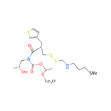 CCOC(=O)OC(C)OC(=O)N(CC(C)O)C(=O)C(CSSCNCCCSC)Cc1ccsc1